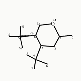 CC1CC(C(C)(C)C)[C@@H](C(C)(C)C)CO1